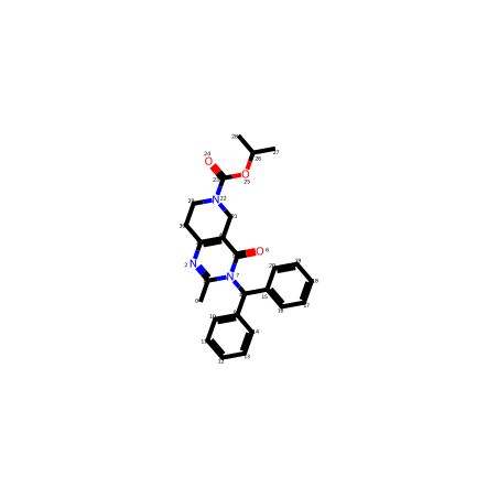 Cc1nc2c(c(=O)n1C(c1ccccc1)c1ccccc1)CN(C(=O)OC(C)C)CC2